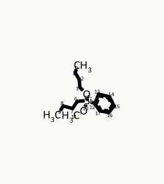 CCCCO[Si](CCCC)(OC)c1ccccc1